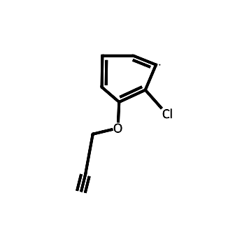 C#CCOc1ccc[c]c1Cl